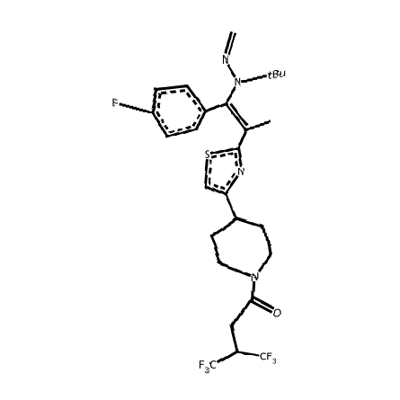 C=NN(/C(=C(\C)c1nc(C2CCN(C(=O)CC(C(F)(F)F)C(F)(F)F)CC2)cs1)c1ccc(F)cc1)C(C)(C)C